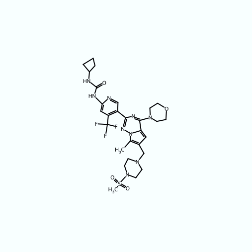 Cc1c(CN2CCN(S(C)(=O)=O)CC2)cc2c(N3CCOCC3)nc(-c3cnc(NC(=O)NC4CCC4)cc3C(F)(F)F)nn12